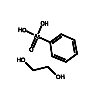 O=[As](O)(O)c1ccccc1.OCCO